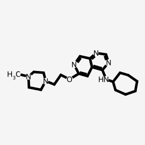 CN1CCN(CCOc2cc3c(NC4CCCCCC4)ncnc3cn2)CC1